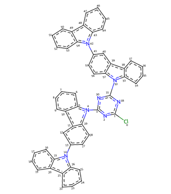 Clc1nc(-n2c3ccccc3c3cc(-n4c5ccccc5c5ccccc54)ccc32)nc(-n2c3ccccc3c3cc(-n4c5ccccc5c5ccccc54)ccc32)n1